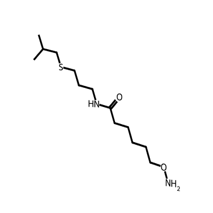 CC(C)CSCCCNC(=O)CCCCCON